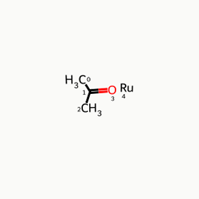 CC(C)=O.[Ru]